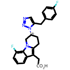 O=C(O)Cc1c2n(c3c(F)cccc13)C[C@H](n1nncc1Cc1ccc(F)cc1)CC2